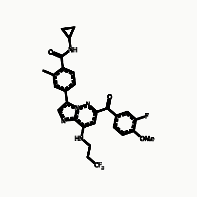 COc1ccc(C(=O)c2cc(NCCC(F)(F)F)c3ncc(-c4ccc(C(=O)NC5CC5)c(C)c4)n3n2)cc1F